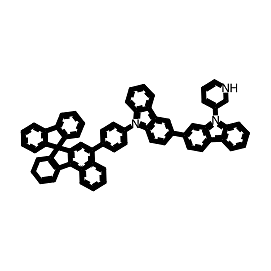 C1=CNCC(n2c3ccccc3c3ccc(-c4ccc5c(c4)c4ccccc4n5-c4ccc(-c5cc6c(c7ccccc57)C5=C(CCC=C5)C65c6ccccc6-c6ccccc65)cc4)cc32)=C1